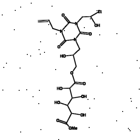 C=CCn1c(=O)n(CC(O)CC)c(=O)n(CC(O)COC(=O)C(O)C(O)C(O)C(O)C(=O)OC)c1=O